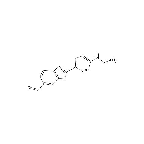 CCNc1ccc(-c2cc3ccc(C=O)cc3o2)cc1